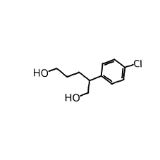 OCCCC(CO)c1ccc(Cl)cc1